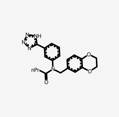 CCCC(=O)N(Cc1ccc2c(c1)OCCO2)c1cccc(-c2nnn[nH]2)c1